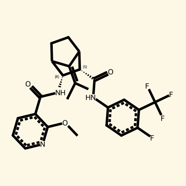 COc1ncccc1C(=O)N[C@@H]1C2CCC(C2=C(C)C)[C@@H]1C(=O)Nc1ccc(F)c(C(F)(F)F)c1